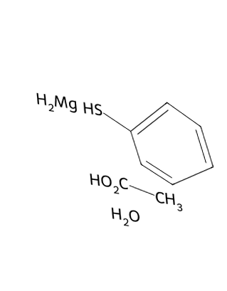 CC(=O)O.O.Sc1ccccc1.[MgH2]